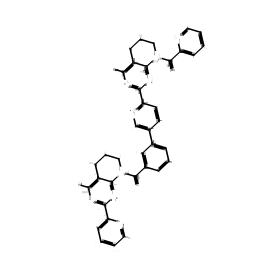 O=C(c1cccc(-c2ccc(-c3nc(O)c4c(n3)N(C(=O)c3ccccn3)CCC4)nc2)c1)N1CCCc2c(O)nc(-c3ccccn3)nc21